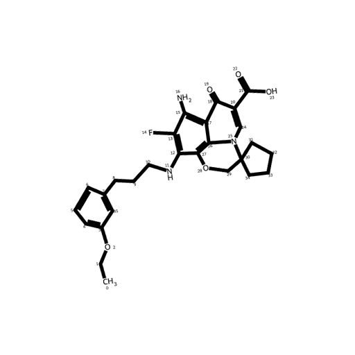 CCOc1cccc(CCCNc2c(F)c(N)c3c(=O)c(C(=O)O)cn4c3c2OCC42CCCC2)c1